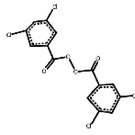 O=C(OOC(=O)c1cc(Cl)cc(Cl)c1)c1cc(Cl)cc(Cl)c1